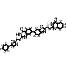 O=c1[nH]c(CCc2ncc(-c3ccccc3)o2)nc2cc(-c3ccc4nc(CCc5nc6ccccc6c(=O)[nH]5)oc4c3)ccc12